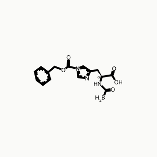 BC(=O)N[C@@H](Cc1cn(C(=O)OCc2ccccc2)cn1)C(=O)O